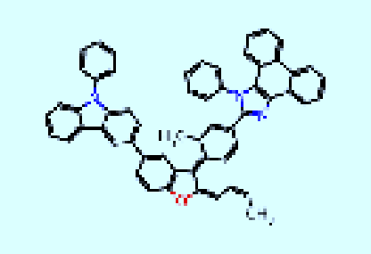 C\C=C/C=c1/oc2ccc(-c3ccc4c(c3)c3ccccc3n4-c3ccccc3)cc2/c1=C1/C=CC(c2nc3c4ccccc4c4ccccc4c3n2-c2ccccc2)=CC1C